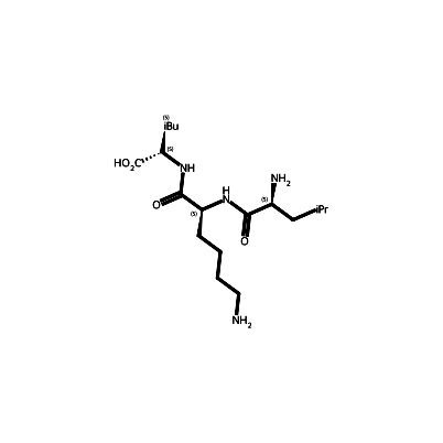 CC[C@H](C)[C@H](NC(=O)[C@H](CCCCN)NC(=O)[C@@H](N)CC(C)C)C(=O)O